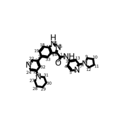 O=C(Nc1ccnc(N2CCCC2)c1)c1n[nH]c2ccc(-c3cncc(N4CCCCC4)c3)cc12